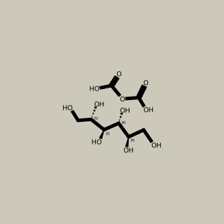 O=C(O)OC(=O)O.OC[C@@H](O)[C@@H](O)[C@@H](O)[C@@H](O)CO